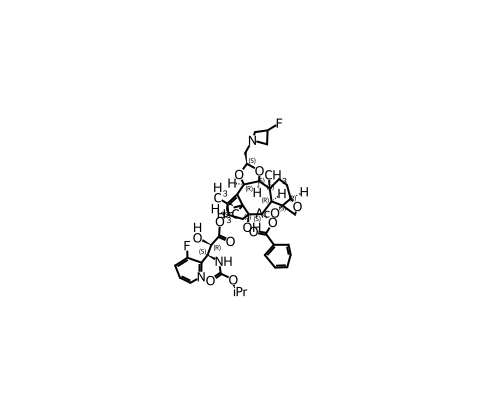 CC(=O)O[C@@]12CO[C@@H]1CC[C@@]1(C)[C@@H]3O[C@H](CN4CC(F)C4)O[C@@H]3C3=C(C)[C@@H](OC(=O)[C@H](O)[C@@H](NC(=O)OC(C)C)c4ncccc4F)C[C@@](O)([C@@H](OC(=O)c4ccccc4)[C@@H]12)C3(C)C